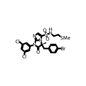 CSCCNS(=O)(=O)c1cnc2n1[C@](C)(Cc1ccc(Br)cc1)C(=O)N2c1cc(Cl)cc(Cl)c1